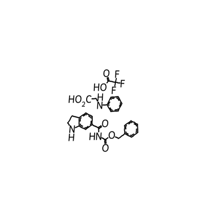 O=C(NC(=O)c1ccc2c(c1)NCC2)OCc1ccccc1.O=C(O)C(F)(F)F.O=C(O)CNc1ccccc1